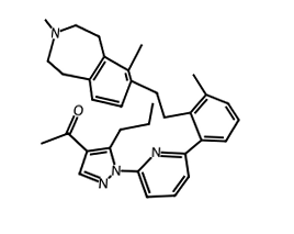 CCCc1c(C(C)=O)cnn1-c1cccc(-c2cccc(C)c2CCc2ccc3c(c2C)CCN(C)CC3)n1